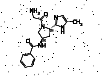 Cc1cnc([C@@H]2C[C@@H](NC(=O)c3ccccc3)CN2C(=O)CN)[nH]1